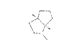 CC(C)[C@@H]1C[C@@H]2CCC[C@@H]2N1C(C)C